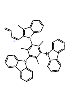 C=C/C=C\c1c(C)c2ccccc2n1-c1c(C)c(-n2c3ccccc3c3ccccc32)c(C)c(-n2c3ccccc3c3ccccc32)c1C